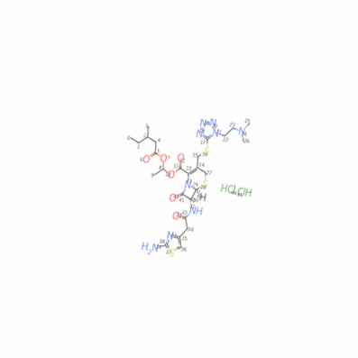 CCC(C)CC(=O)OC(C)OC(=O)C1=C(CSc2nnnn2CCN(C)C)CS[C@H]2[C@H](NC(=O)Cc3csc(N)n3)C(=O)N12.Cl.Cl